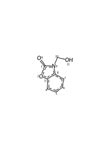 O=c1oc2ccccc2n1CO